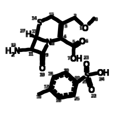 COCC1=C(C(=O)O)N2C(=O)C(N)[C@@H]2SC1.Cc1ccc(S(=O)(=O)O)cc1